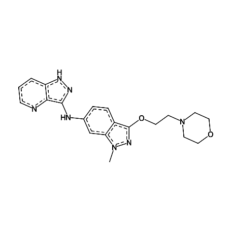 Cn1nc(OCCN2CCOCC2)c2ccc(Nc3n[nH]c4cccnc34)cc21